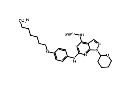 CCCC(C)Nc1nc(Nc2ccc(OCCCCCCC(=O)O)cc2)nc2c1cnn2C1CCCCO1